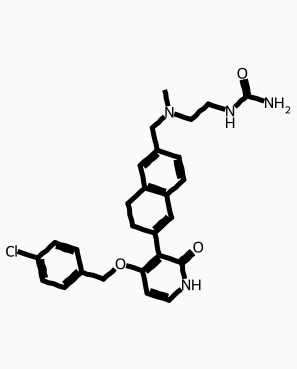 CN(CCNC(N)=O)Cc1ccc2c(c1)CCC(c1c(OCc3ccc(Cl)cc3)cc[nH]c1=O)=C2